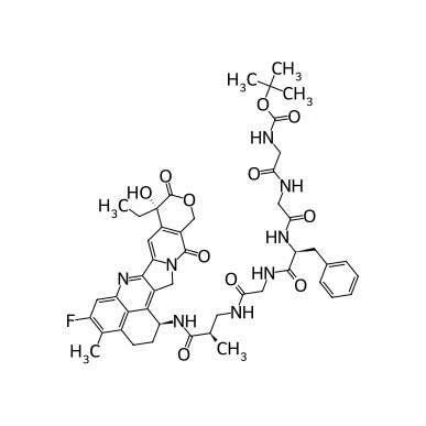 CC[C@@]1(O)C(=O)OCc2c1cc1n(c2=O)Cc2c-1nc1cc(F)c(C)c3c1c2[C@@H](NC(=O)[C@H](C)CNC(=O)CNC(=O)[C@H](Cc1ccccc1)NC(=O)CNC(=O)CNC(=O)OC(C)(C)C)CC3